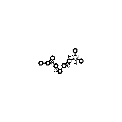 C1=c2oc3cc(-c4cccc5oc6cc(-n7c8ccccc8c8cc(-c9ccccc9)ccc87)ccc6c45)ccc3c2=CCC1C1NC(c2ccccc2)=NC(c2ccccc2)N1